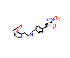 CN(CCc1cccc2ccoc12)Cc1ccc(/C=C/C(=O)NO)cc1